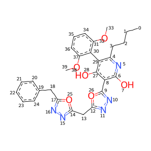 CCCCc1nc(O)c(-c2nnc(Cc3nnc(Cc4ccccc4)o3)o2)c(O)c1-c1c(OC)cccc1OC